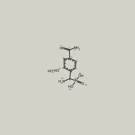 Cl.Cl.N=C(N)c1ccc(C(N)P(=O)(O)O)cc1